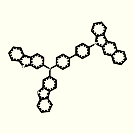 c1ccc2cc3c(cc2c1)c1ccccc1n3-c1ccc(-c2ccc(N(c3ccc4c(c3)oc3ccccc34)c3ccc4c(c3)sc3ccccc34)cc2)cc1